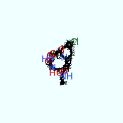 CN1C/C=C/[C@H](OC(O)NCC2CC2)[C@@H]2CC[C@H]2CN2CCCCc3cc(Cl)ccc3COc3ccc(cc32)S(=O)(=O)NC(=O)C1(C)C